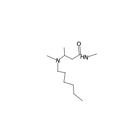 CCCCCCN(C)C(C)CC(=O)NC